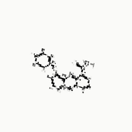 O=C(O)c1cccc2nc3cccc(Oc4ccccc4)c3nc12